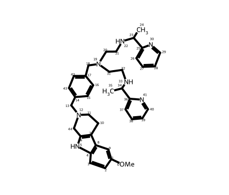 COc1ccc2[nH]c3c(c2c1)CCN(Cc1ccc(CN(CCNC(C)c2ccccn2)CCNC(C)c2ccccn2)cc1)C3